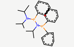 CC(C)N(C(C)C)P(c1ccccc1)N(C(C)C)P(c1ccccc1)c1ccccc1